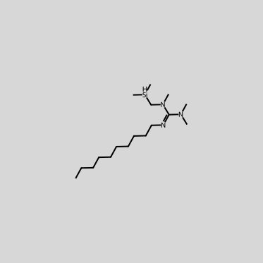 CCCCCCCCCCN=C(N(C)C)N(C)C[SiH](C)C